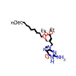 CCCCCCCCCCCCCCCCCCOC[C@H](CC(OCC)OCC)Cn1cnc2c(=O)[nH]c(N)nc21